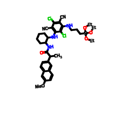 CCO[Si](CCCNc1c(Cl)c(NC2CCCCC2NC(=O)C(C)c2ccc3cc(OC)ccc3c2)c(C#N)c(Cl)c1C#N)(OCC)OCC